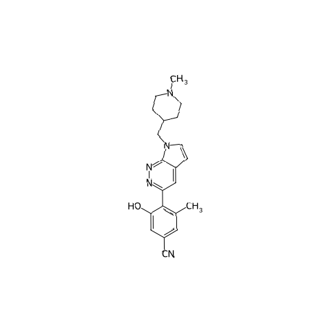 Cc1cc(C#N)cc(O)c1-c1cc2ccn(CC3CCN(C)CC3)c2nn1